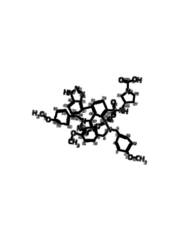 COc1ccc(CN(Cc2ccc(OC)cc2)S(=O)(=O)c2c(S(=O)(=O)N[C@@H]3CCN(C(=O)O)C3)ccc(-c3cccc4[nH]nnc34)c2-c2nnnn2Cc2ccc(OC)cc2)cc1